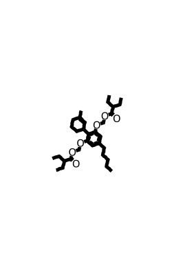 CCCCCc1cc(OCOC(=O)C(CC)CC)c(C2C=C(C)CCC2)c(OCOC(=O)C(CC)CC)c1